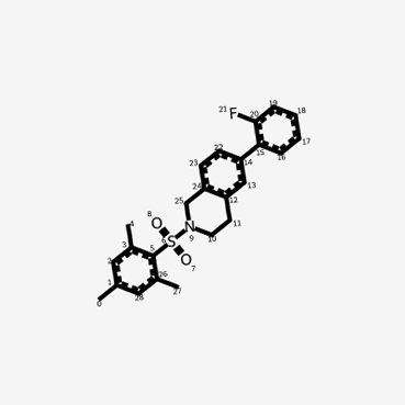 Cc1cc(C)c(S(=O)(=O)N2CCc3cc(-c4ccccc4F)ccc3C2)c(C)c1